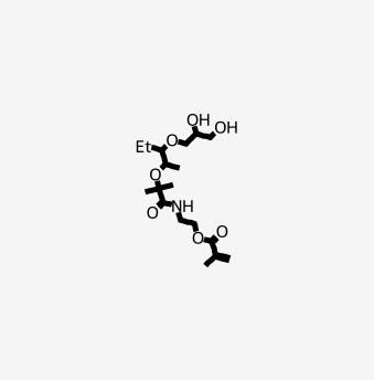 C=C(C)C(=O)OCCNC(=O)C(C)(C)OC(C)C(CC)OCC(O)CO